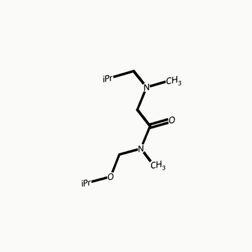 CC(C)CN(C)CC(=O)N(C)COC(C)C